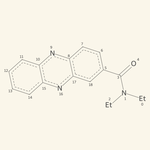 CCN(CC)C(=O)c1ccc2nc3ccccc3nc2c1